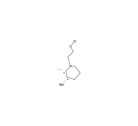 CCOCCN1CCC[C@H](C(C)(C)C)[C@@H]1C